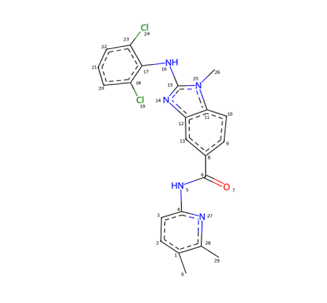 Cc1ccc(NC(=O)c2ccc3c(c2)nc(Nc2c(Cl)cccc2Cl)n3C)nc1C